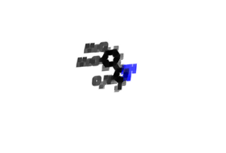 COc1ccc(-c2[nH]nc(C)c2[N+](=O)[O-])cc1OC